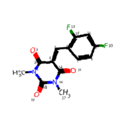 CN1C(=O)C(=Cc2ccc(F)cc2F)C(=O)N(C)C1=O